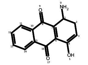 NC1CC=C(O)C2=C1C(=O)c1ccccc1C2=O